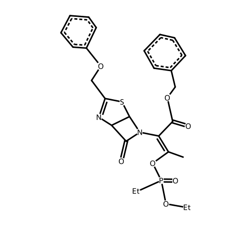 CCOP(=O)(CC)OC(C)=C(C(=O)OCc1ccccc1)N1C(=O)C2N=C(COc3ccccc3)SC21